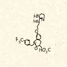 O=C(O)CC1Cc2ccc(OCCCNC3=NCCCN3)cc2CN(Cc2ccc(C(F)(F)F)cc2)C1=O